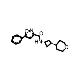 O=C(N[C@H]1C[C@H](C2CCOCC2)C1)c1cc(-c2ccccc2)on1